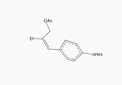 CCCCCCc1ccc(C=C(CC)COC(C)=O)cc1